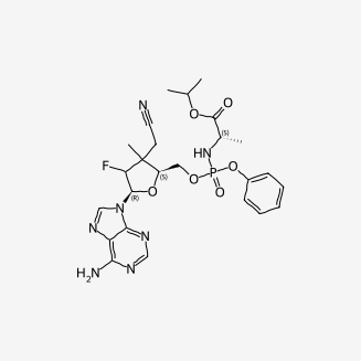 CC(C)OC(=O)[C@H](C)NP(=O)(OC[C@H]1O[C@@H](n2cnc3c(N)ncnc32)C(F)C1(C)CC#N)Oc1ccccc1